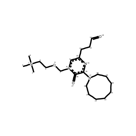 C[Si](C)(C)CCOCn1cc(CCC=O)nc(N2CCCCCCCC2)c1=O